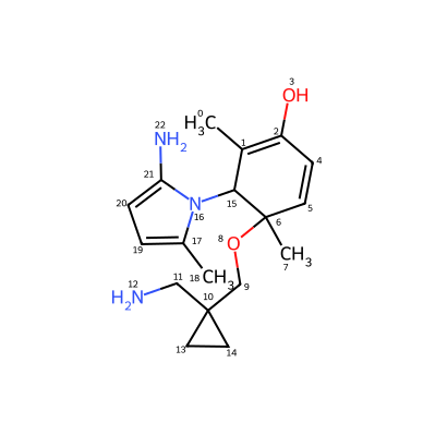 CC1=C(O)C=CC(C)(OCC2(CN)CC2)C1n1c(C)ccc1N